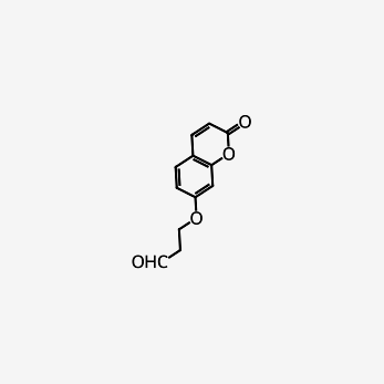 O=CCCOc1ccc2ccc(=O)oc2c1